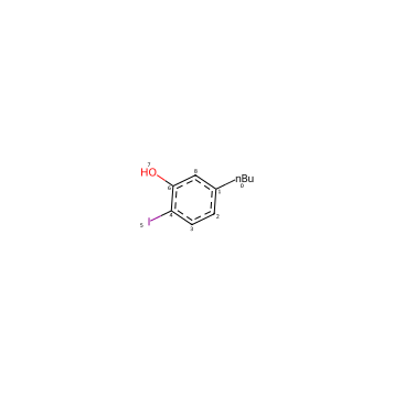 CCCCc1ccc(I)c(O)c1